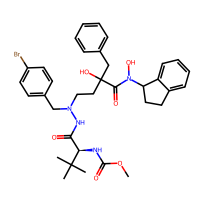 COC(=O)N[C@H](C(=O)NN(CCC(O)(Cc1ccccc1)C(=O)N(O)C1CCc2ccccc21)Cc1ccc(Br)cc1)C(C)(C)C